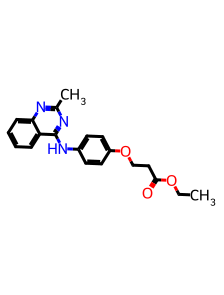 CCOC(=O)CCOc1ccc(Nc2nc(C)nc3ccccc23)cc1